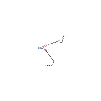 CCCCC/C=C\C/C=C\CCCCCCCCCCOCC1CNC[C@H]1COCCCCCCCCCC/C=C\C/C=C\CCCCC